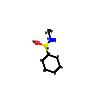 CC(C)N[S+]([O-])C1CCCCC1